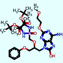 COCCOc1nc(N)c2nc(O)n(CC(COc3ccccc3)OCP(=O)(NC(C)C(=O)OC(C)(C)C)NC(C)C(=O)OC(C)(C)C)c2n1